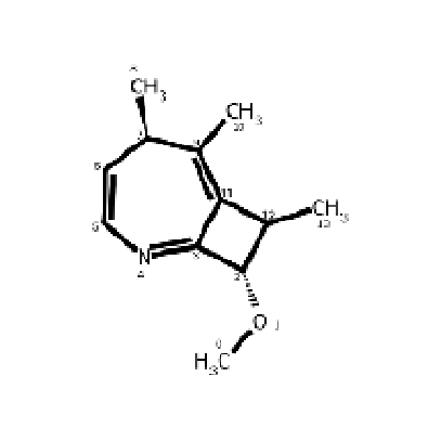 CO[C@@H]1C2=NC=C[C@@H](C)C(C)=C2C1C